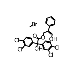 CBr.O=C(OCC(=CO)c1ccccc1)C(O)(c1ccc(Cl)c(Cl)c1)c1ccc(Cl)c(Cl)c1